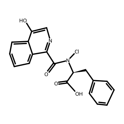 O=C(O)[C@H](Cc1ccccc1)N(Cl)C(=O)c1ncc(O)c2ccccc12